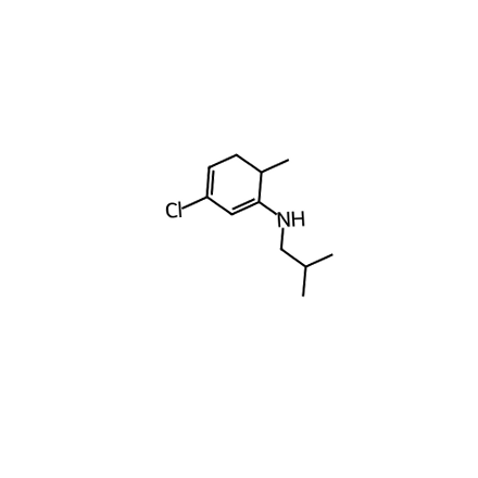 CC(C)CNC1=CC(Cl)=CCC1C